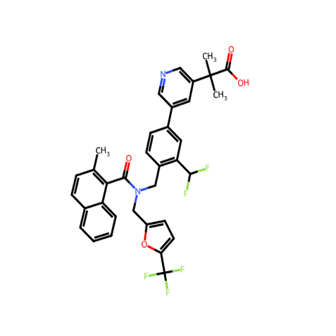 Cc1ccc2ccccc2c1C(=O)N(Cc1ccc(C(F)(F)F)o1)Cc1ccc(-c2cncc(C(C)(C)C(=O)O)c2)cc1C(F)F